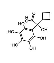 O=C(O)C(O)(c1c(O)c(O)c(O)c(O)c1O)C1CCC1